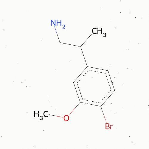 COc1cc(C(C)CN)ccc1Br